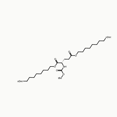 CCCCCCCCCCCCCCCCCCOC(=O)CC[C@H](NC(=O)OC(C)(C)C)C(=O)OCCCCCCCCCCCCCCCCCC